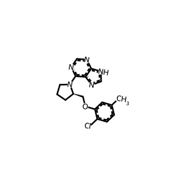 Cc1ccc(Cl)c(OC[C@H]2CCCN2c2ncnc3[nH]cnc23)c1